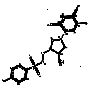 Cc1ccc(S(=O)(=O)OC[C@H]2O[C@H](n3cc(C)c(=O)[nH]c3=O)C[C@H]2O)cc1